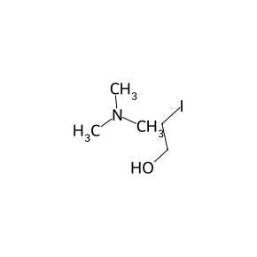 CN(C)C.OCCI